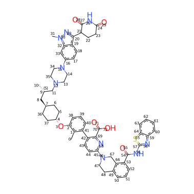 Cc1c(O[C@H]2CC[C@H](C[C@H](C)CN3CCN(c4ccc5c(C6CCC(=O)NC6=O)nn(C)c5c4)CC3)CC2)cccc1-c1ccc(N2CCc3cccc(C(=O)Nc4nc5ccccc5s4)c3C2)nc1C(=O)O